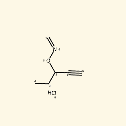 C#CC(CC)ON=C.Cl